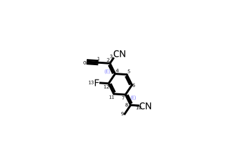 C#C/C(C#N)=c1/cc/c(=C(/C)C#N)cc1F